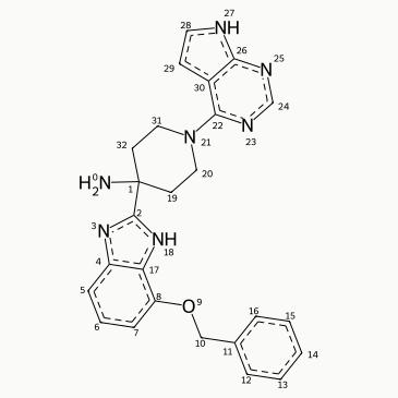 NC1(c2nc3cccc(OCc4ccccc4)c3[nH]2)CCN(c2ncnc3[nH]ccc23)CC1